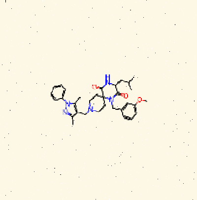 COc1cccc(CN2C(=O)C(CC(C)C)NC(=O)C23CCN(Cc2c(C)nn(-c4ccccc4)c2C)CC3)c1